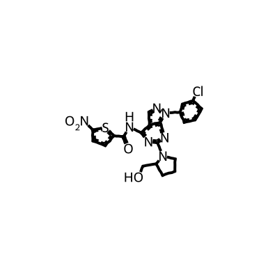 O=C(Nc1nc(N2CCCC2CO)nc2c1cnn2-c1cccc(Cl)c1)c1ccc([N+](=O)[O-])s1